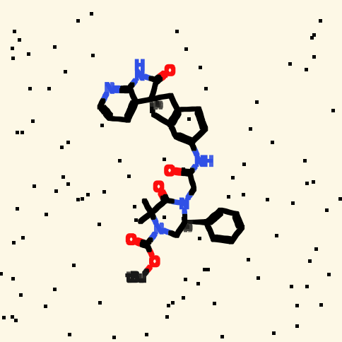 CC(C)(C)OC(=O)N1C[C@H](c2ccccc2)N(CC(=O)Nc2ccc3c(c2)C[C@@]2(C3)C(=O)Nc3ncccc32)C(=O)C1(C)C